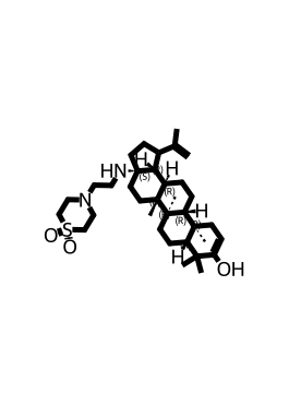 C=C(C)C1CC[C@]2(NCCN3CCS(=O)(=O)CC3)CC[C@]3(C)[C@H](CC[C@@H]4[C@@]5(C)CC=C(O)C(C)(C)[C@@H]5CC[C@]43C)[C@@H]12